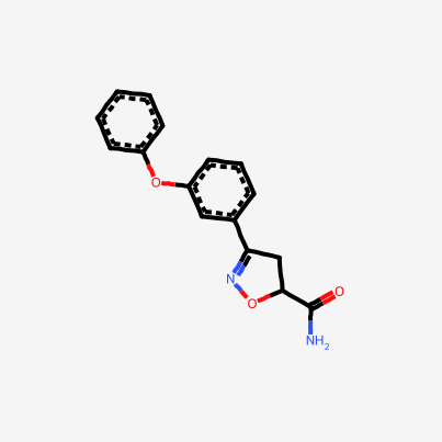 NC(=O)C1CC(c2cccc(Oc3ccccc3)c2)=NO1